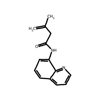 C=C(C)CC(=O)Nc1cccc2cccnc12